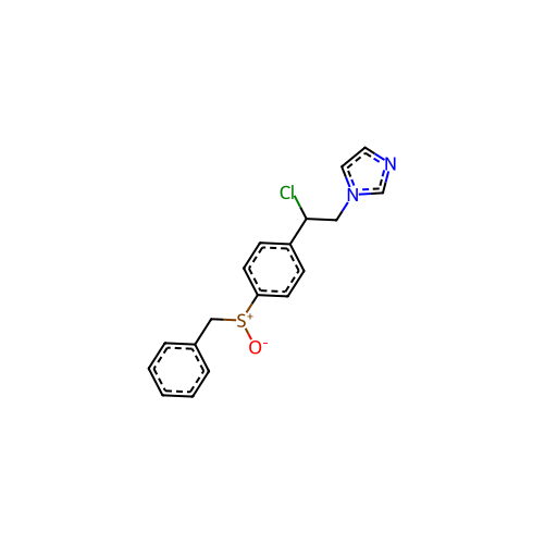 [O-][S+](Cc1ccccc1)c1ccc(C(Cl)Cn2ccnc2)cc1